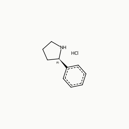 Cl.c1ccc([C@H]2CCCN2)cc1